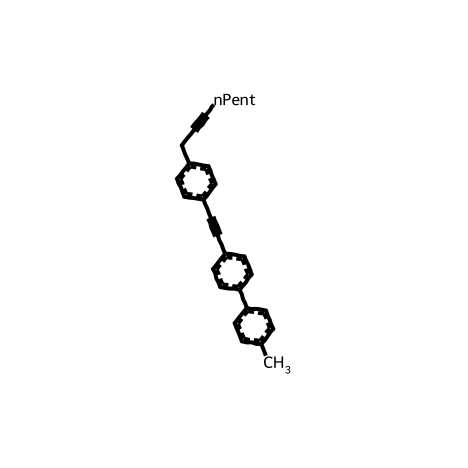 CCCCCC#CCc1ccc(C#Cc2ccc(-c3ccc(C)cc3)cc2)cc1